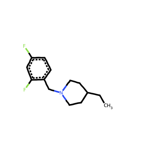 CCC1CCN(Cc2ccc(F)cc2F)CC1